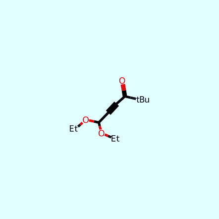 CCOC(C#CC(=O)C(C)(C)C)OCC